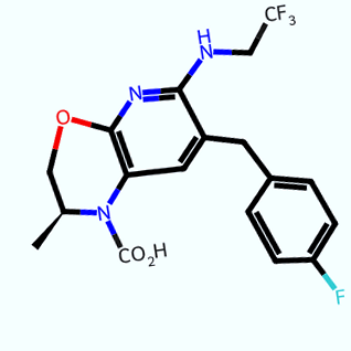 C[C@H]1COc2nc(NCC(F)(F)F)c(Cc3ccc(F)cc3)cc2N1C(=O)O